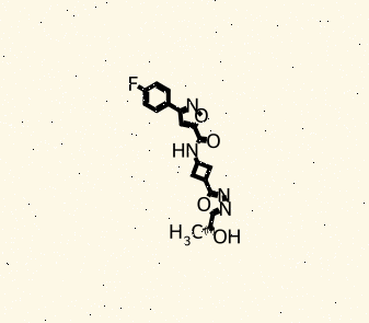 C[C@@H](O)c1nnc(C2CC(NC(=O)c3cc(-c4ccc(F)cc4)no3)C2)o1